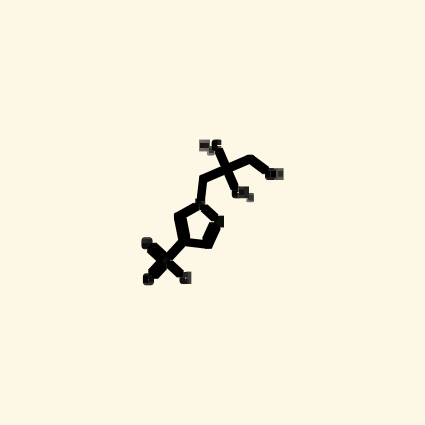 CC(C)(CO)Cn1cc(S(=O)(=O)Cl)cn1